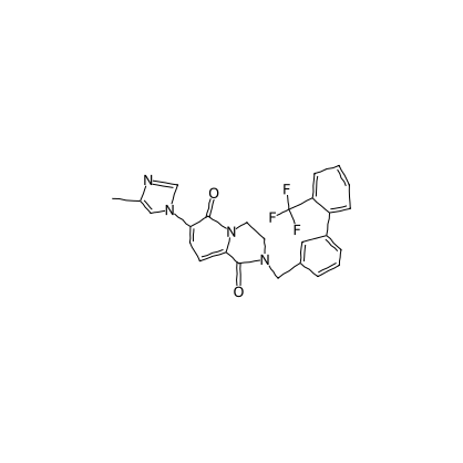 Cc1cn(-c2ccc3n(c2=O)CCN(Cc2cccc(-c4ccccc4C(F)(F)F)c2)C3=O)cn1